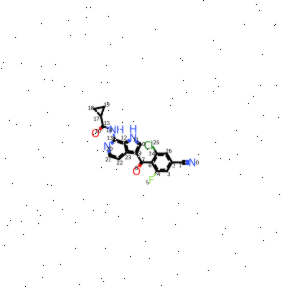 N#Cc1cc(F)c(C(=O)c2c[nH]c3c(NC(=O)C4CC4)nccc23)c(Cl)c1